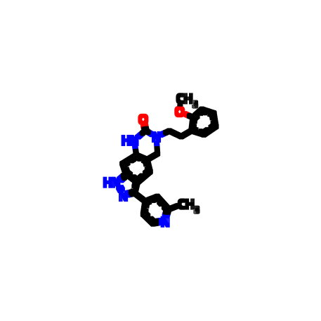 COc1ccccc1CCN1Cc2cc3c(-c4ccnc(C)c4)n[nH]c3cc2NC1=O